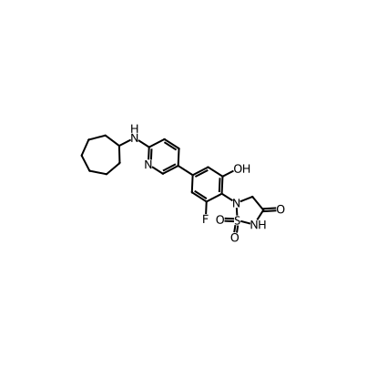 O=C1CN(c2c(O)cc(-c3ccc(NC4CCCCCC4)nc3)cc2F)S(=O)(=O)N1